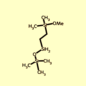 CO[Si](C)(C)CC[SiH2]O[Si](C)(C)C